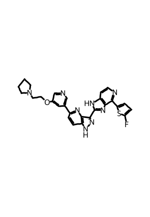 Fc1ccc(-c2nccc3[nH]c(-c4n[nH]c5ccc(-c6cncc(OCCN7CCCC7)c6)nc45)nc23)s1